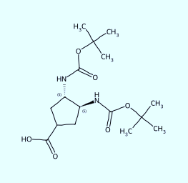 CC(C)(C)OC(=O)N[C@H]1CC(C(=O)O)C[C@@H]1NC(=O)OC(C)(C)C